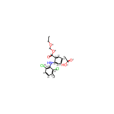 CC(=O)O.CCOCOC(=O)c1ccccc1Nc1c(Cl)ccc(C)c1Cl